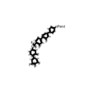 CCCCCc1ccc(-c2ccc(-c3ccc(C(F)(F)Oc4ccc(-c5cc(F)c(F)c(F)c5)c(F)c4)c(F)c3)c(F)c2)cc1